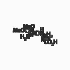 COc1cc2nc(N3CCC(Nc4cnc(C(=O)O)c(N)n4)CC3)nc(N)c2cc1OC